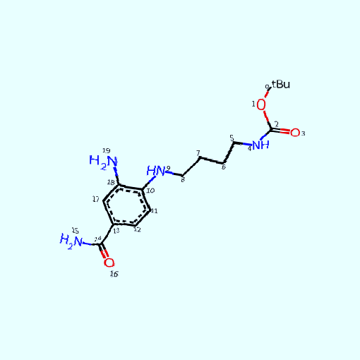 CC(C)(C)OC(=O)NCCCCNc1ccc(C(N)=O)cc1N